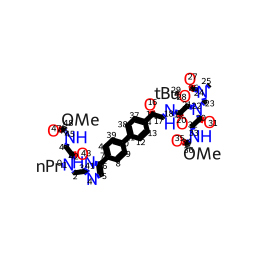 CCCN(Cc1ncc(-c2ccc(-c3ccc(C(=O)CNC(=O)CN(CN(C)C(=O)OC(C)(C)C)C(=O)CNC(=O)OC)cc3)cc2)[nH]1)C(=O)CNC(=O)OC